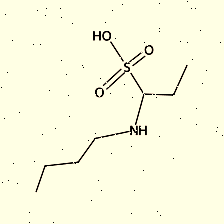 CCCCNC(CC)S(=O)(=O)O